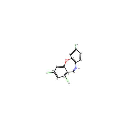 Fc1ccc2c(c1)Oc1cc(F)cc(Cl)c1C=N2